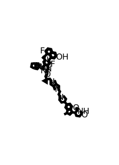 C#Cc1c(F)ccc2cc(O)cc(-c3ncc4c(N5CC6CCC(C5)N6)nc(OCC5(CN6CC7CN(CCN8CCC(c9ccc%10c(c9)C(C)C=C%10C9CCC(=O)NC9=O)CC8)CC7C6)CC5)nc4c3F)c12